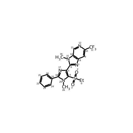 CCS(=O)(=O)c1c(-c2nc3cc(C(F)(F)F)ncc3n2C)nc(-c2ccccc2)n1C